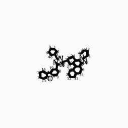 c1ccc(-c2nc(-c3ccc4oc5ccccc5c4c3)nc(-c3ccc4c(c3)c3c5ccccc5ccc3c3nc5ccccn5c43)n2)cc1